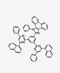 c1ccc(-c2cc(-c3cccc4ccccc34)nc(-c3cc(-c4nc(-c5ccccc5)cc(-c5cccc6ccccc56)n4)cc(-c4nc5c6ccccc6c6ccccc6c5n4-c4ccccc4)c3)n2)cc1